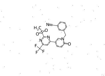 CS(=O)(=O)c1nc(-c2ccc(=O)n(Cc3cccc(C#N)c3)c2)cc(C(F)(F)F)n1